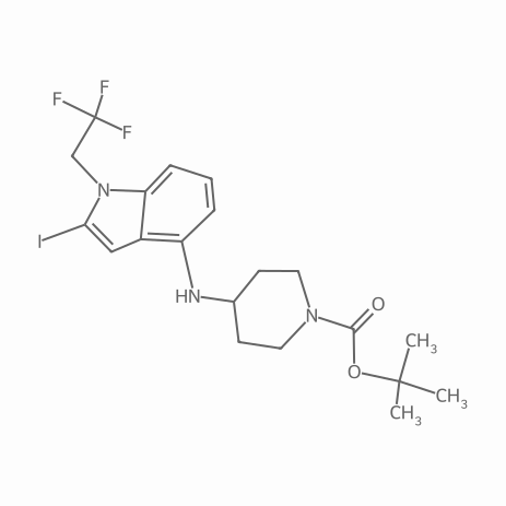 CC(C)(C)OC(=O)N1CCC(Nc2cccc3c2cc(I)n3CC(F)(F)F)CC1